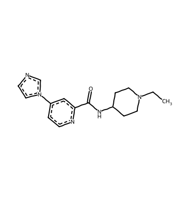 CCN1CCC(NC(=O)c2cc(-n3ccnc3)ccn2)CC1